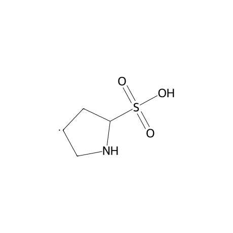 O=S(=O)(O)C1C[CH]CN1